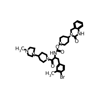 Cc1cc(CC(NC(=O)ON2CCC(N3Cc4ccccc4NC3=O)CC2)C(=O)N2CCC(N3CCN(C)CC3)CC2)ccc1Br